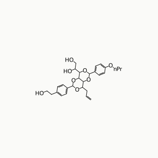 C=CCC1OC(c2ccc(CCO)cc2)OC2C(C(O)CO)OC(c3ccc(OCCC)cc3)OC12